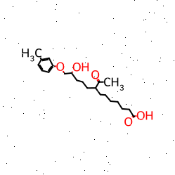 CC(=O)C(CCCCCCC(=O)O)CCCC(O)COc1cccc(C)c1